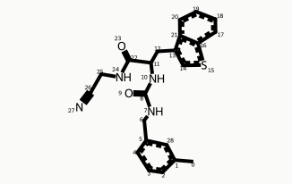 Cc1cccc(CNC(=O)NC(Cc2csc3ccccc23)C(=O)NCC#N)c1